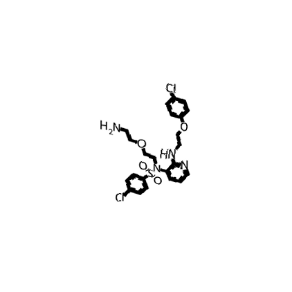 NCCOCCN(c1cccnc1NCCOc1ccc(Cl)cc1)S(=O)(=O)c1ccc(Cl)cc1